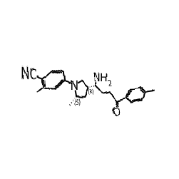 Cc1ccc(C(=O)CCC(N)[C@@H]2C[C@H](C)N(c3ccc(C#N)c(C)c3)C2)cc1